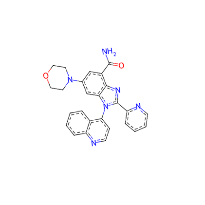 NC(=O)c1cc(N2CCOCC2)cc2c1nc(-c1ccccn1)n2-c1ccnc2ccccc12